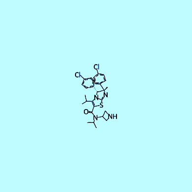 CC(C)C1=C(C(=O)N(C(C)C)C2CNC2)SC2=N[C@@](C)(c3ccc(Cl)cc3)[C@@H](c3ccc(Cl)cc3)N21